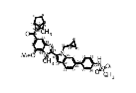 COc1cc(C(=O)N2CC3CCC2[C@@H]3C)cc2nc(-c3cc4ccc(-c5ccc(NS(C)(=O)=O)cc5)cc4n3CC3CC3)n(C)c12